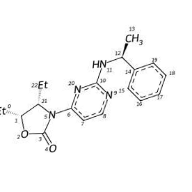 CC[C@H]1OC(=O)N(c2ccnc(N[C@@H](C)c3ccccc3)n2)[C@H]1CC